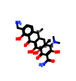 C[C@H]1c2ccc(CN)c(O)c2C(=O)C2=C(O)[C@]3(O)C(=O)C(C(N)=O)=C(O)[C@@H](N(C)C)[C@@H]3CC21